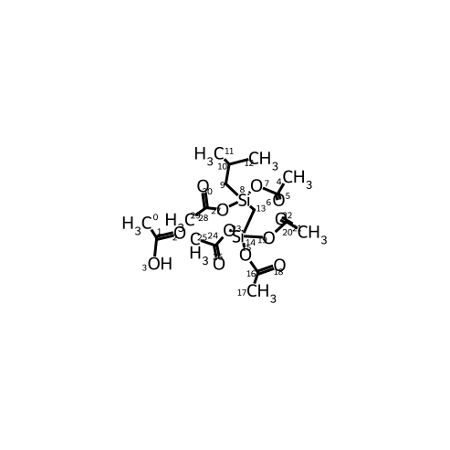 CC(=O)O.CC(=O)O[Si](CC(C)C)(C[Si](OC(C)=O)(OC(C)=O)OC(C)=O)OC(C)=O